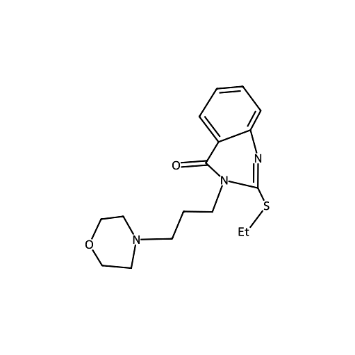 CCSc1nc2ccccc2c(=O)n1CCCN1CCOCC1